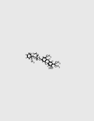 Cc1cc(OC[P@@]2(=O)OCC[C@@H]([C@@]3(C)C=NC=CC3)O2)cc(C)c1Cc1ccc(O)c(C(C)C)c1